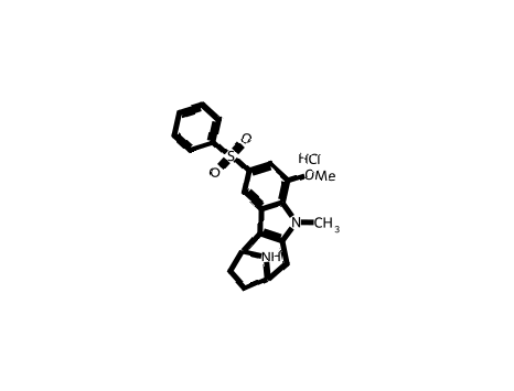 COc1cc(S(=O)(=O)c2ccccc2)cc2c3c(n(C)c12)CC1CCC3N1.Cl